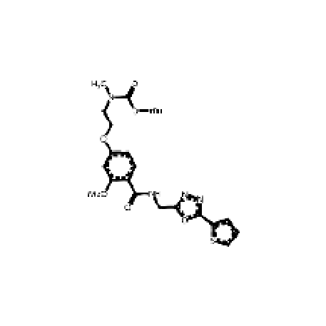 COc1cc(OCCN(C)C(=O)OC(C)(C)C)ccc1C(=O)NCc1nnc(-c2cccs2)o1